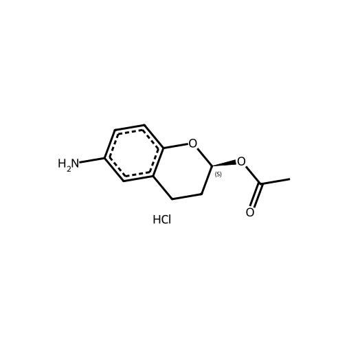 CC(=O)O[C@H]1CCc2cc(N)ccc2O1.Cl